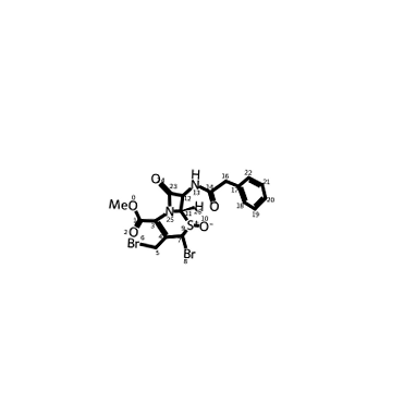 COC(=O)C1=C(CBr)C(Br)[S+]([O-])[C@H]2C(NC(=O)Cc3ccccc3)C(=O)N12